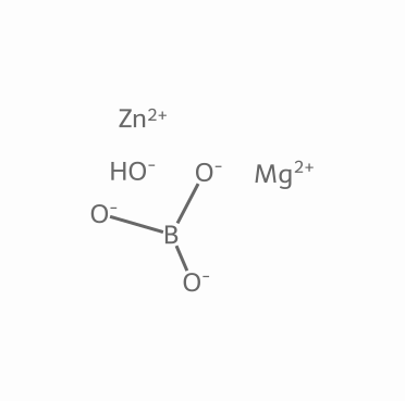 [Mg+2].[O-]B([O-])[O-].[OH-].[Zn+2]